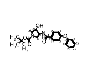 CC(C)(C)OC(=O)N1C[C@H](NC(=O)c2ccc(Oc3ccccc3)cc2)[C@@H](O)C1